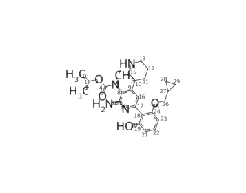 CC(C)OC(=O)N(C)c1c(C2CCCNC2)cc(-c2c(O)cccc2OCC2CC2)nc1N